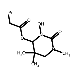 CC(C)CC(=O)OC1N(O)C(=O)N(C)CC1(C)C